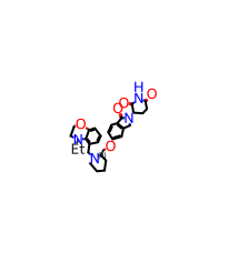 CCN1CCOc2cccc(CN3CCCC[C@@H]3COc3ccc4c(c3)CN(C3CCC(=O)NC3=O)C4=O)c21